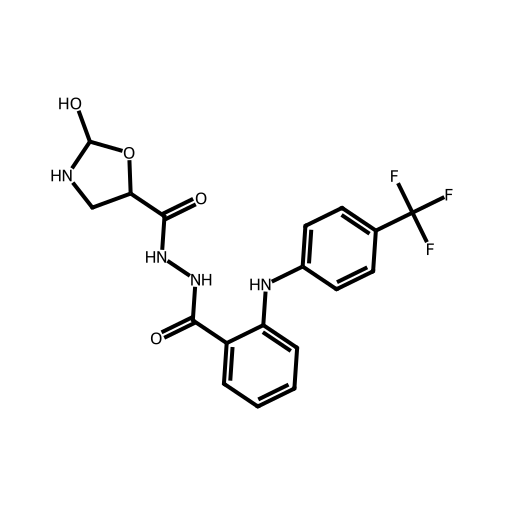 O=C(NNC(=O)C1CNC(O)O1)c1ccccc1Nc1ccc(C(F)(F)F)cc1